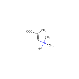 CCC[N+](C)(C)C=C(C)C(=O)[O-]